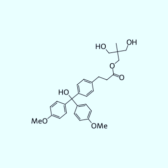 COc1ccc(C(O)(c2ccc(CCC(=O)OCC(C)(CO)CO)cc2)c2ccc(OC)cc2)cc1